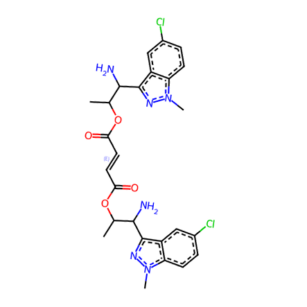 CC(OC(=O)/C=C/C(=O)OC(C)C(N)c1nn(C)c2ccc(Cl)cc12)C(N)c1nn(C)c2ccc(Cl)cc12